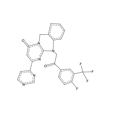 O=C(CN1c2ccccc2Cn2c1nc(-c1ccncn1)cc2=O)c1ccc(F)c(C(F)(F)F)c1